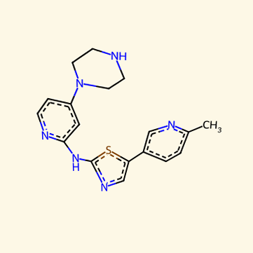 Cc1ccc(-c2cnc(Nc3cc(N4CCNCC4)ccn3)s2)cn1